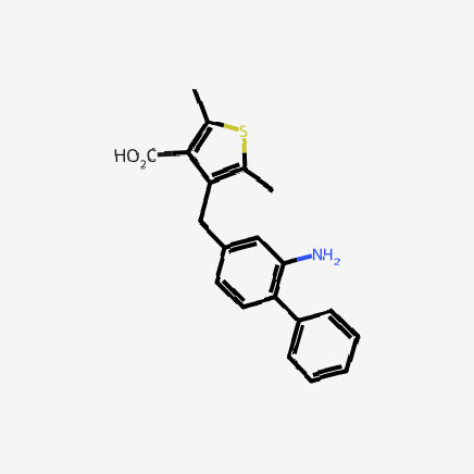 Cc1sc(C)c(C(=O)O)c1Cc1ccc(-c2ccccc2)c(N)c1